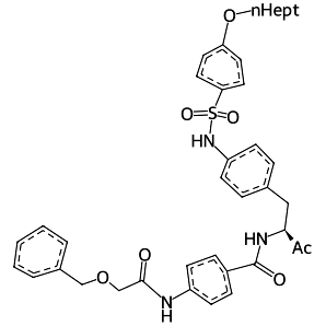 CCCCCCCOc1ccc(S(=O)(=O)Nc2ccc(C[C@H](NC(=O)c3ccc(NC(=O)COCc4ccccc4)cc3)C(C)=O)cc2)cc1